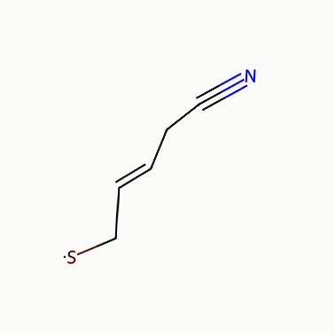 N#CC/C=C/C[S]